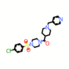 O=C(C1CCN(Cc2ccncc2)CC1)N1CCN(S(=O)(=O)c2ccc(Cl)cc2)CC1